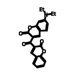 CCN(CC)c1ccc2cc(C(=O)c3cc4ccccc4oc3=O)c(=O)oc2c1